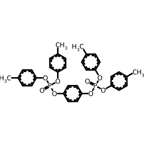 Cc1ccc(OP(=O)(Oc2ccc(C)cc2)Oc2ccc(OP(=O)(Oc3ccc(C)cc3)Oc3ccc(C)cc3)cc2)cc1